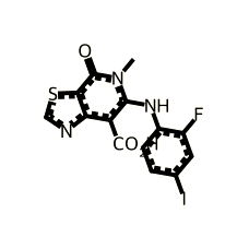 Cn1c(Nc2ccc(I)cc2F)c(C(=O)O)c2ncsc2c1=O